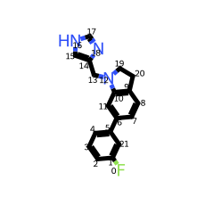 Fc1cccc(-c2ccc3c(c2)N(Cc2c[nH]cn2)CC3)c1